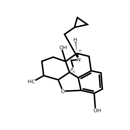 [CH]C1CCC2(O)[C@H]3Cc4ccc(O)c5c4[C@@]2(CCN3CC2CC2)C1O5